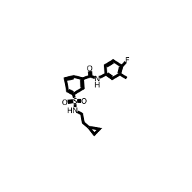 Cc1cc(NC(=O)c2cccc(S(=O)(=O)NCCC3CC3)c2)ccc1F